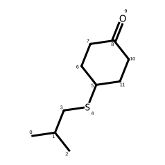 CC(C)CSC1CCC(=O)CC1